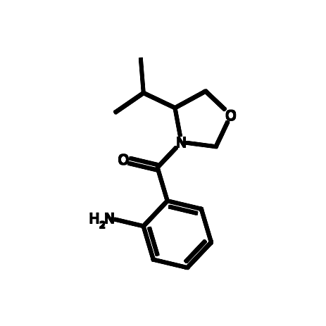 CC(C)C1COCN1C(=O)c1ccccc1N